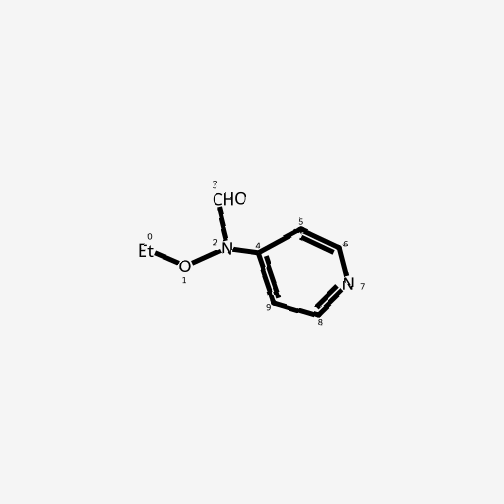 CCON(C=O)c1[c]cncc1